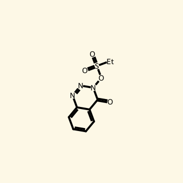 CCS(=O)(=O)On1nnc2ccccc2c1=O